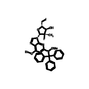 CCOc1nc(N(OC)C(c2ccccc2)(c2ccccc2)c2ccccc2)nc2c1ncn2[C@@H]1O[C@H](CI)[C@@H](O)[C@@]1(C)F